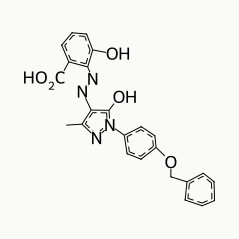 Cc1nn(-c2ccc(OCc3ccccc3)cc2)c(O)c1N=Nc1c(O)cccc1C(=O)O